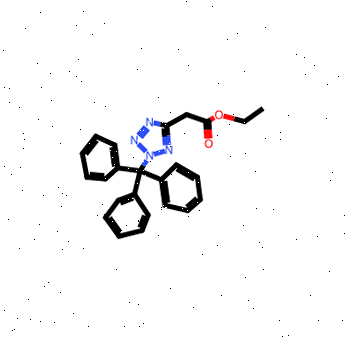 CCOC(=O)Cc1nnn(C(c2ccccc2)(c2ccccc2)c2ccccc2)n1